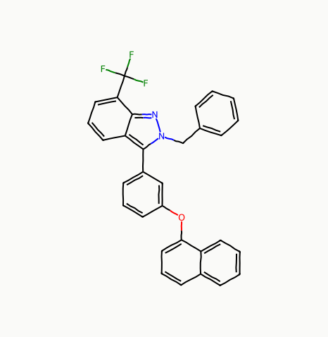 FC(F)(F)c1cccc2c(-c3cccc(Oc4cccc5ccccc45)c3)n(Cc3ccccc3)nc12